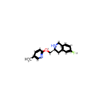 Cc1ccc(OC[C@@H]2Cc3cc(F)ccc3CN2)nc1